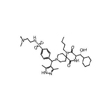 CCCCN1C(=O)[C@@H]([C@H](O)C2CCCCC2)NC(=O)C12CCN(C(c1ccc(S(=O)(=O)NCCN(C)C)cc1)c1c(C)n[nH]c1C)CC2